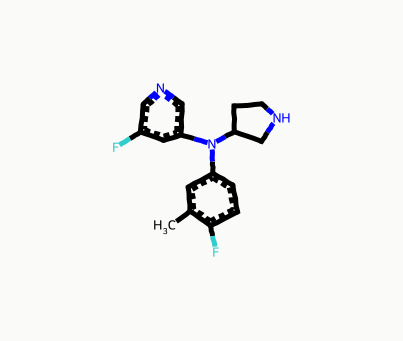 Cc1cc(N(c2cncc(F)c2)C2CCNC2)ccc1F